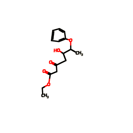 CCOC(=O)CC(=O)CC(O)C(C)Oc1ccccc1